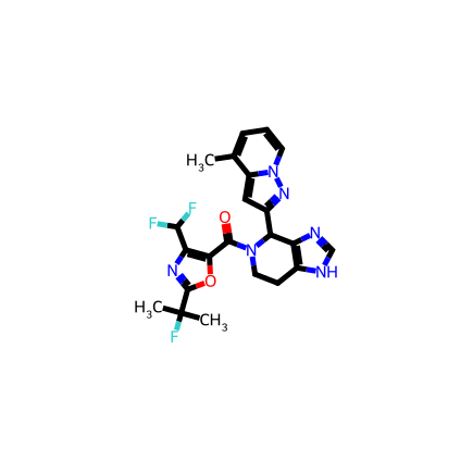 Cc1cccn2nc(C3c4nc[nH]c4CCN3C(=O)c3oc(C(C)(C)F)nc3C(F)F)cc12